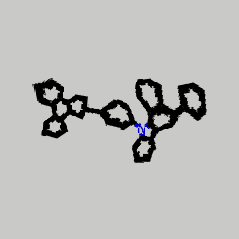 c1ccc(-c2cc3c4ccccc4n(-c4ccc(-c5ccc6c7ccccc7c7ccccc7c6c5)cc4)c3c3ccccc23)cc1